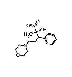 CC(C)(C(CCN1CCOCC1)c1ccccc1)[N+](=O)[O-]